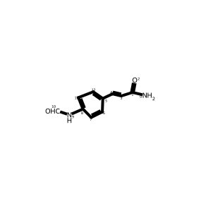 NC(=O)/C=C/c1ccc(NC=O)cc1